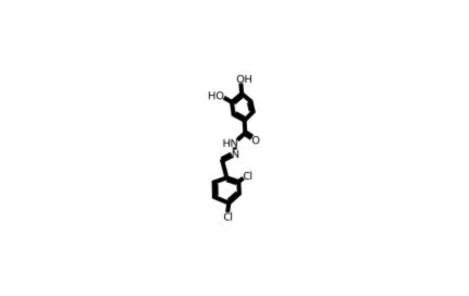 O=C(NN=Cc1ccc(Cl)cc1Cl)c1ccc(O)c(O)c1